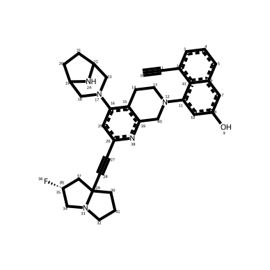 C#Cc1cccc2cc(O)cc(N3CCc4c(N5CC6CCC(C5)N6)cc(C#CC56CCCN5C[C@H](F)C6)nc4C3)c12